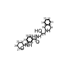 O=C(NCC(O)CN1CCc2ccccc2C1)c1cccc(N[C@@H]2CCCCO2)c1